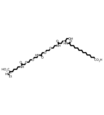 CCN[C@@H](CCCCNC(=O)COCCOCCNC(=O)COCCOCCNC(=O)CC[C@@H](CO)NC(=O)CCCCCCCCCCCCC(=O)O)C(=O)O